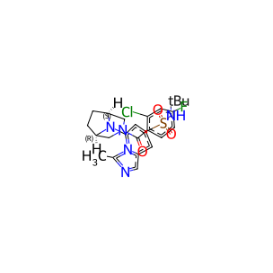 Cc1ncc2cc(S(=O)(=O)NC(C)(C)C)cc(N3[C@@H]4CC[C@H]3CN(C(=O)c3ccc(F)cc3Cl)C4)n12